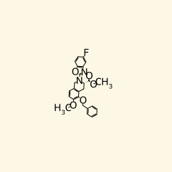 COC(=O)[C@@H]1Cc2c(ccc(OC)c2OCc2ccccc2)CN1c1nc2cc(F)ccc2o1